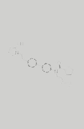 CCOC(=O)CCN(C(=O)C1CCCC1)c1ccc(-c2ccc(CCN3CCCC3C)cc2)cc1